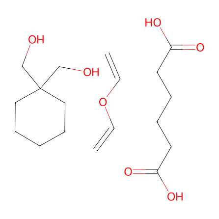 C=COC=C.O=C(O)CCCCC(=O)O.OCC1(CO)CCCCC1